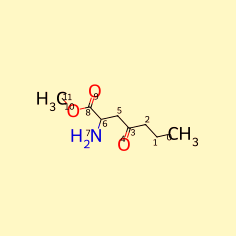 CCCC(=O)CC(N)C(=O)OC